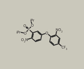 CC(C)OP(=O)(OC(C)C)c1cc(Oc2ccc(C(F)(F)F)cc2[N+](=O)[O-])ccc1[N+](=O)[O-]